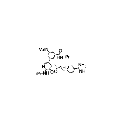 CNc1cc(C(=O)NC(C)C)cc(-c2cnc(NC(C)C)c(=O)n2CC(=O)NCc2ccc(C(=N)N)cc2)c1